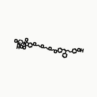 O=C1CCC(N2C(=O)c3ccc(OCCCOCCCOCCOc4ccc(/C=C(/CCc5ccc(O)cc5)c5ccccc5)cc4)cc3C2=O)C(=O)N1